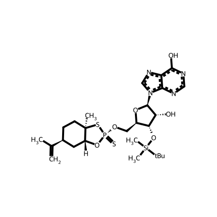 C=C(C)[C@H]1CC[C@@]2(C)S[P@](=S)(OC[C@H]3O[C@@H](n4cnc5c(O)ncnc54)[C@H](O)[C@@H]3O[Si](C)(C)C(C)(C)C)O[C@@H]2C1